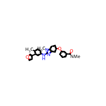 CNC(=O)c1cccc(Oc2ccc3c(c2)nc(Nc2ccc(C)c(-c4ccoc4)c2)n3C)c1